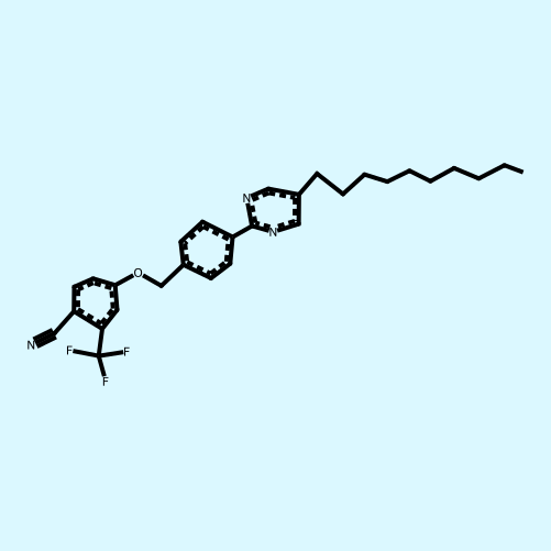 CCCCCCCCCCc1cnc(-c2ccc(COc3ccc(C#N)c(C(F)(F)F)c3)cc2)nc1